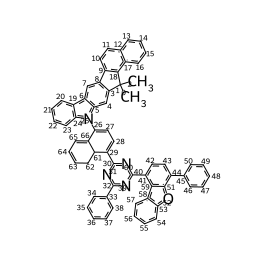 CC1(C)c2cc3c(cc2-c2ccc4ccccc4c21)c1ccccc1n3C1=CC=C(c2nc(-c3ccccc3)nc(-c3ccc(-c4ccccc4)c4oc5ccccc5c34)n2)C2CC=CC=C12